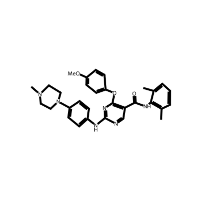 COc1ccc(Oc2nc(Nc3ccc(N4CCN(C)CC4)cc3)ncc2C(=O)Nc2c(C)cccc2C)cc1